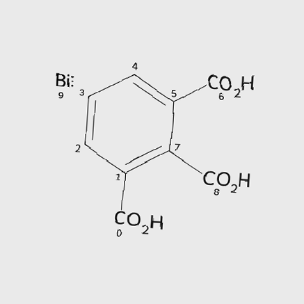 O=C(O)c1cccc(C(=O)O)c1C(=O)O.[Bi]